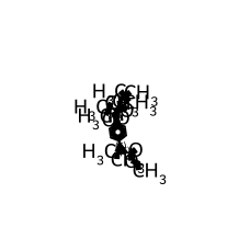 CCOC(=O)[C@H]1[C@H](c2ccc(S(=O)(=O)N(C(=O)OC(C)(C)C)C(C)(C)C)cc2)C1(C)C